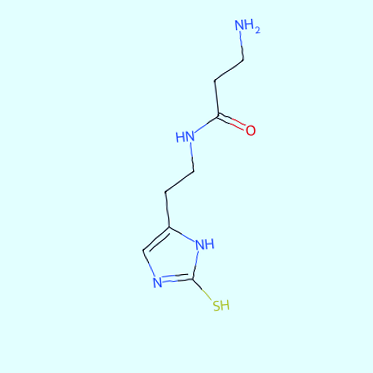 NCCC(=O)NCCc1cnc(S)[nH]1